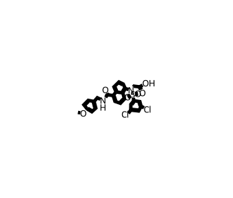 COc1ccc(CNC(=O)c2cccc3c(N(CC(=O)O)S(=O)(=O)c4cc(Cl)cc(Cl)c4)cccc23)cc1